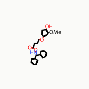 COc1cc(OCCCC(=O)ONC(c2ccccc2)c2ccccc2)ccc1O